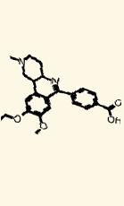 CCOc1cc2c(cc1OC)C(c1ccc(C(=O)O)cc1)=NC1CCN(C)CC21